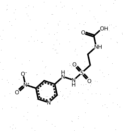 O=C(O)NCCS(=O)(=O)NNc1cncc([N+](=O)[O-])c1